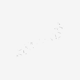 NC(=O)N(S)c1cccc(OCCCCCCCN2CCN(c3ccc(F)cc3)CC2)c1